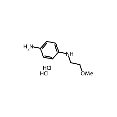 COCCNc1ccc(N)cc1.Cl.Cl